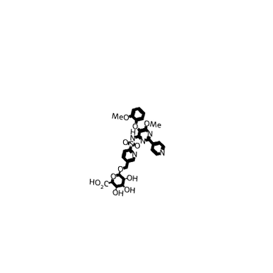 COc1ccccc1Oc1c(NS(=O)(=O)c2ccc(CO[C@@H]3O[C@H](C(=O)O)[C@@H](O)[C@H](O)[C@H]3O)cn2)nc(-c2ccncc2)nc1OC